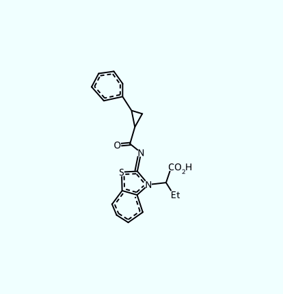 CCC(C(=O)O)n1c(=NC(=O)C2CC2c2ccccc2)sc2ccccc21